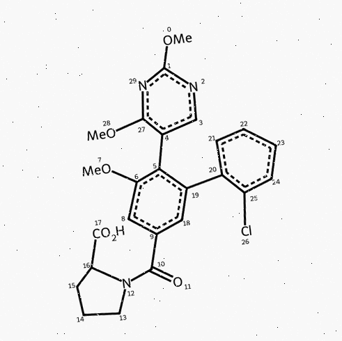 COc1ncc(-c2c(OC)cc(C(=O)N3CCCC3C(=O)O)cc2-c2ccccc2Cl)c(OC)n1